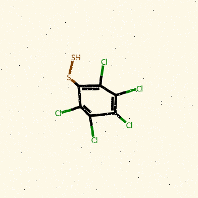 SSc1c(Cl)c(Cl)c(Cl)c(Cl)c1Cl